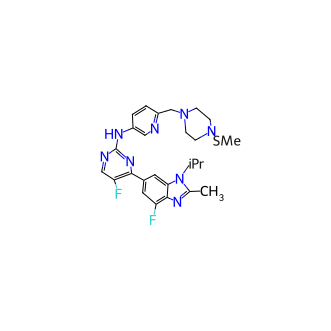 CSN1CCN(Cc2ccc(Nc3ncc(F)c(-c4cc(F)c5nc(C)n(C(C)C)c5c4)n3)cn2)CC1